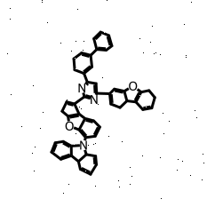 C1=CC2c3ccccc3N(c3cccc4c5c(oc34)CC=C5c3nc(C4=CCC5C(=C4)OC4=C5C=CCC4)cc(C4=CC(c5ccccc5)=CCC4)n3)C2C=C1